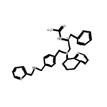 CC(=O)N[C@@H](Cc1ccccc1)CN(Cc1ccc(CNCc2ccccn2)cc1)C1CCCc2cccnc21